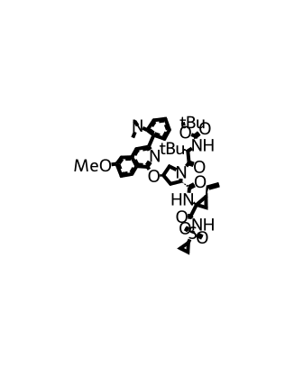 C=C[C@H]1C[C@]1(NC(=O)[C@@H]1C[C@@H](Oc2nc(-c3ccccc3N(C)C)cc3cc(OC)ccc23)CN1C(=O)[C@@H](NC(=O)OC(C)(C)C)C(C)(C)C)C(=O)NS(=O)(=O)C1CC1